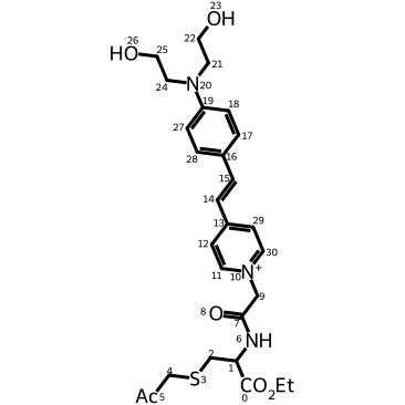 CCOC(=O)C(CSCC(C)=O)NC(=O)C[n+]1ccc(/C=C/c2ccc(N(CCO)CCO)cc2)cc1